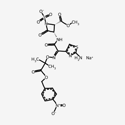 COC(=O)[C@@H]1[C@H](NC(=O)C(=NOC(C)(C)C(=O)OCc2ccc([N+](=O)[O-])cc2)c2csc(N)n2)C(=O)N1S(=O)(=O)[O-].[Na+]